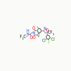 Cc1cc(C2=NOC(c3cc(Cl)c(F)c(Cl)c3)(C(F)(F)F)C2)ccc1C(=O)N(CC(=O)NCC(F)(F)F)C(=O)C1CC1